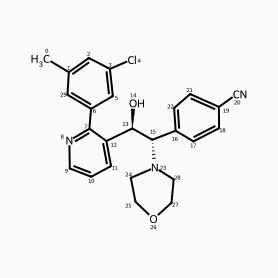 Cc1cc(Cl)cc(-c2ncccc2[C@@H](O)[C@H](c2ccc(C#N)cc2)N2CCOCC2)c1